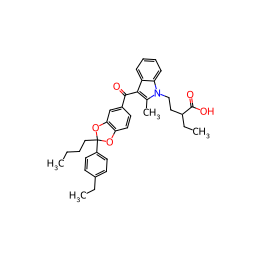 CCCCC1(c2ccc(CC)cc2)Oc2ccc(C(=O)c3c(C)n(CCC(CC)C(=O)O)c4ccccc34)cc2O1